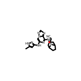 Cc1cc(Nc2cn3ncnc3c(NC3CC4CCC(C3)N4CCC#N)n2)n[nH]1